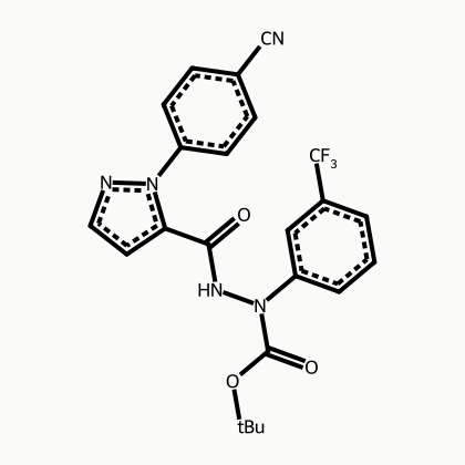 CC(C)(C)OC(=O)N(NC(=O)c1ccnn1-c1ccc(C#N)cc1)c1cccc(C(F)(F)F)c1